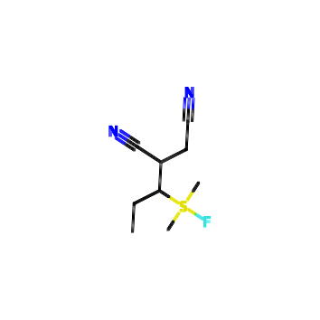 CCC(C(C#N)CC#N)S(C)(C)F